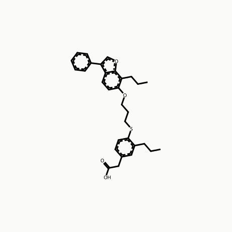 CCCc1cc(CC(=O)O)ccc1SCCCOc1ccc2c(-c3ccccc3)coc2c1CCC